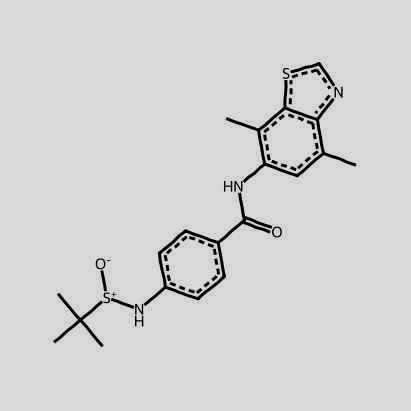 Cc1cc(NC(=O)c2ccc(N[S+]([O-])C(C)(C)C)cc2)c(C)c2scnc12